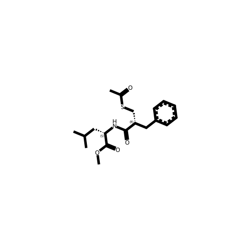 COC(=O)[C@H](CC(C)C)NC(=O)[C@H](CSC(C)=O)Cc1ccccc1